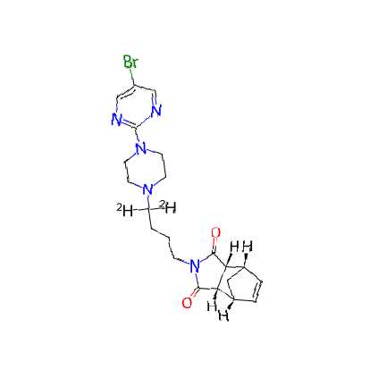 [2H]C([2H])(CCCN1C(=O)[C@@H]2[C@H](C1=O)[C@@H]1C=C[C@H]2C1)N1CCN(c2ncc(Br)cn2)CC1